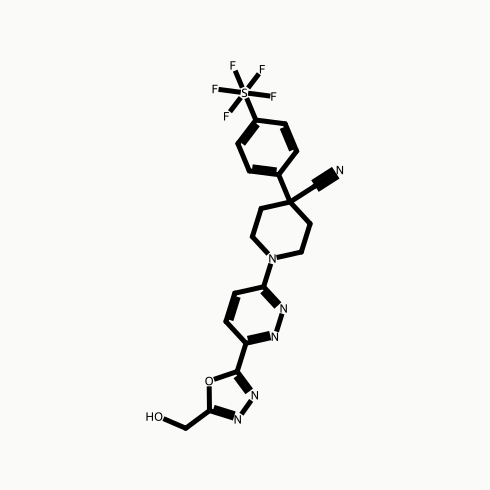 N#CC1(c2ccc(S(F)(F)(F)(F)F)cc2)CCN(c2ccc(-c3nnc(CO)o3)nn2)CC1